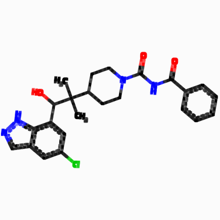 CC(C)(C1CCN(C(=O)NC(=O)c2ccccc2)CC1)C(O)c1cc(Cl)cc2cn[nH]c12